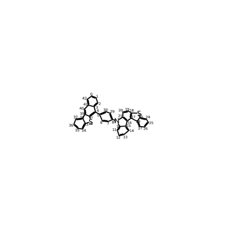 c1ccc2c(-c3ccc(-n4c5ccccc5c5c6c(ccc54)sc4ccccc46)cc3)c3sc4ccccc4c3cc2c1